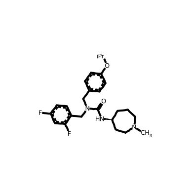 CC(C)Oc1ccc(CN(Cc2ccc(F)cc2F)C(=O)N[C@H]2CCCN(C)CC2)cc1